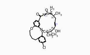 C[C@H]1[C@@H](O)/C=C/C[C@H](C)[C@@H](C)/[SH](=O)=N\C(=O)c2ccc3c(c2)N(Cc2ccc(Cl)cc2CCCCO3)C[C@@H]1C